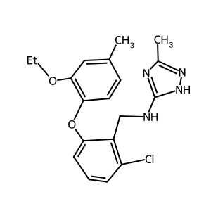 CCOc1cc(C)ccc1Oc1cccc(Cl)c1CNc1nc(C)n[nH]1